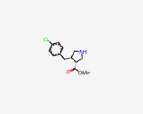 COC(=O)[C@H]1CNC[C@@H]1Cc1ccc(Cl)cc1